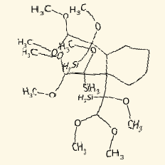 COC(OC)C([SiH3])(OC)C1CCCCC1(C([SiH3])(OC)C(OC)OC)C([SiH3])(OC)C(OC)OC